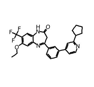 CCOc1cc2c(cc1C(F)(F)F)NC(=O)CC(c1cccc(-c3ccnc(C4CCCC4)c3)c1)=N2